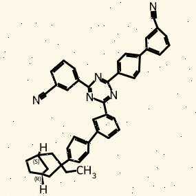 CCC1(c2ccc(-c3cccc(-c4nc(-c5ccc(-c6cccc(C#N)c6)cc5)nc(-c5cccc(C#N)c5)n4)c3)cc2)C[C@@H]2CC[C@@H](C2)C1